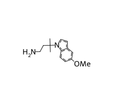 COc1ccc2c(ccn2C(C)(C)CCN)c1